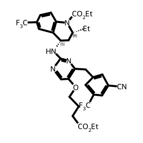 CCOC(=O)CCCOc1cnc(N[C@H]2C[C@@H](CC)N(C(=O)OCC)c3ccc(C(F)(F)F)cc32)nc1Cc1cc(C#N)cc(C(F)(F)F)c1